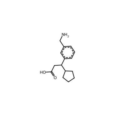 NCc1cccc(C(CC(=O)O)C2CCCC2)c1